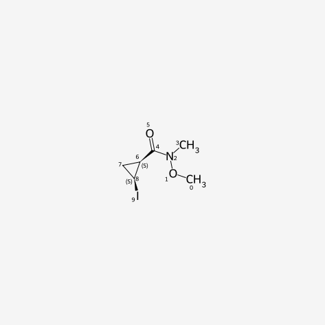 CON(C)C(=O)[C@@H]1C[C@@H]1I